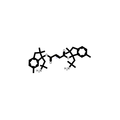 Cc1ccc2c(c1)C(CC(C)(C)N)(OC(=O)/C=C/C(=O)OC1(CC(C)(C)N)c3cc(C)ccc3CC1(C)C)C(C)(C)C2